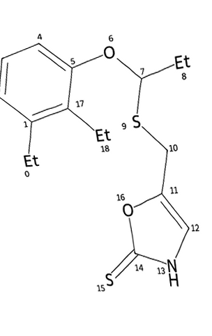 CCc1cccc(OC(CC)SCc2c[nH]c(=S)o2)c1CC